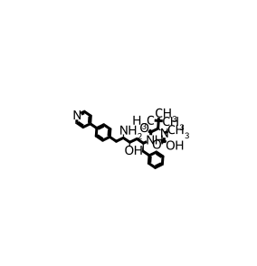 CN(C(=O)O)[C@H](C(=O)N[C@@H](Cc1ccccc1)C[C@H](O)[C@@H](N)Cc1ccc(-c2ccncc2)cc1)C(C)(C)C